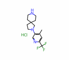 Cc1cc(C(F)(F)F)ncc1N1CCC2(CCNCC2)C1.Cl